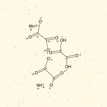 O=C(O)C(=O)O.O=C([O-])C(=O)[O-].O=C([O-])C(=O)[O-].[Mn+3].[NH4+]